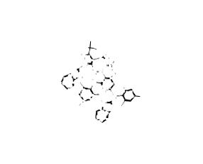 CC(=O)Nc1cc(N(c2nc3ccccc3s2)c2c(C)cc(C)cc2C)nc(Nc2c(C)cc(C)cc2C)c1N=Nc1c(C#N)c(C(C)(C)C)nn1-c1nc2ccccc2s1